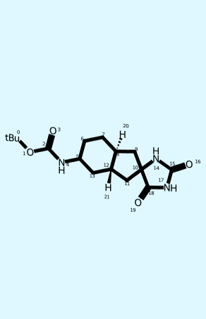 CC(C)(C)OC(=O)NC1CC[C@H]2CC3(C[C@@H]2C1)NC(=O)NC3=O